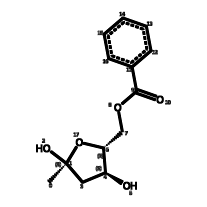 C[C@@]1(O)C[C@H](O)[C@@H](COC(=O)c2ccccc2)O1